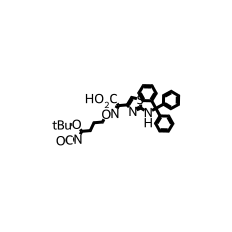 CC(C)(C)OC(CCCON=C(C(=O)O)c1csc(NC(c2ccccc2)(c2ccccc2)c2ccccc2)n1)N=C=O